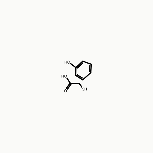 O=C(O)CS.Oc1ccccc1